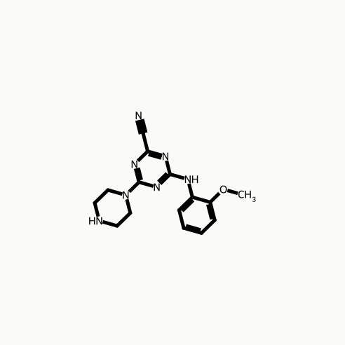 COc1ccccc1Nc1nc(C#N)nc(N2CCNCC2)n1